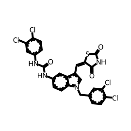 O=C(Nc1ccc(Cl)c(Cl)c1)Nc1ccc2c(c1)c(/C=C1/SC(=O)NC1=O)cn2Cc1ccc(Cl)c(Cl)c1